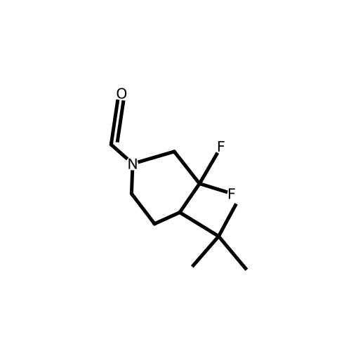 CC(C)(C)C1CCN(C=O)CC1(F)F